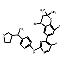 CCC(C)N1CC(C)(C)Oc2c(F)cc(-c3nc(Nc4ccc(N(C)C5CCOC5)cn4)ncc3F)cc21